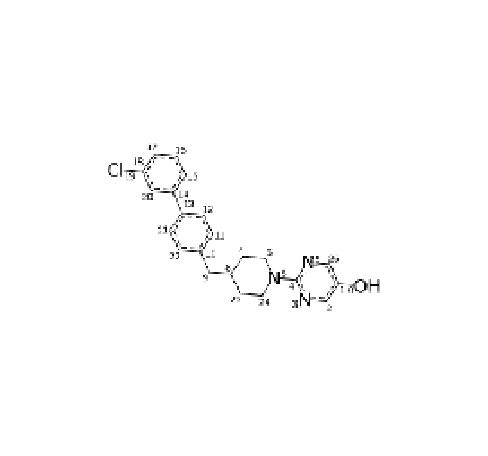 Oc1cnc(N2CCC(Cc3ccc(-c4cccc(Cl)c4)cc3)CC2)nc1